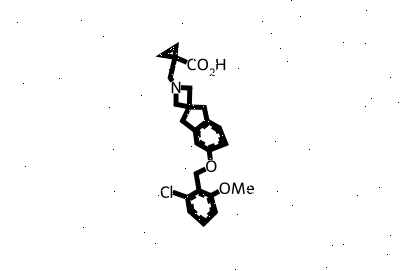 COc1cccc(Cl)c1COc1ccc2c(c1)CC1(C2)CN(CC2(C(=O)O)CC2)C1